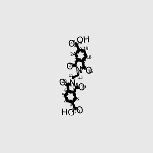 O=C(O)c1ccc2c(c1)C(=O)N(CCN1C(=O)c3ccc(C(=O)O)cc3C1=O)C2=O